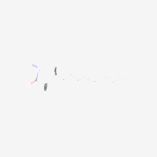 C=NC(=O)C(=C)C(=C)CCCCCCCCC